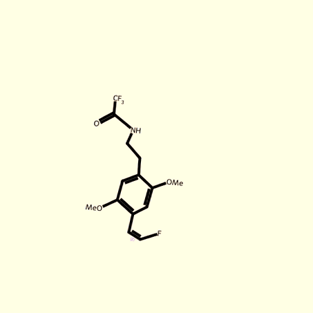 COc1cc(CCNC(=O)C(F)(F)F)c(OC)cc1/C=C\F